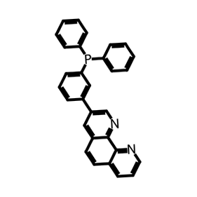 c1ccc(P(c2ccccc2)c2cccc(-c3cnc4c(ccc5cccnc54)c3)c2)cc1